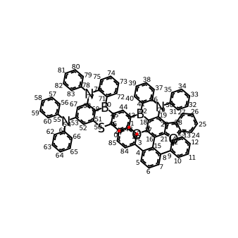 c1ccc(-c2cccc(-c3ccccc3)c2-c2c3c4c(c5c2oc2ccccc25)N(c2ccccc2)c2ccccc2B4c2cc4c(cc2O3)Sc2cc(N(c3ccccc3)c3ccccc3)cc3c2B4c2ccccc2N3c2ccccc2)cc1